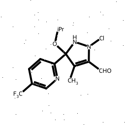 CC1=C(C=O)N(Cl)NC1(OC(C)C)c1ccc(C(F)(F)F)cn1